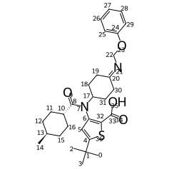 CC(C)(C)c1cc(N(C(=O)[C@H]2CC[C@H](C)CC2)C2CCC(=NCOc3ccccc3)CC2)c(C(=O)O)s1